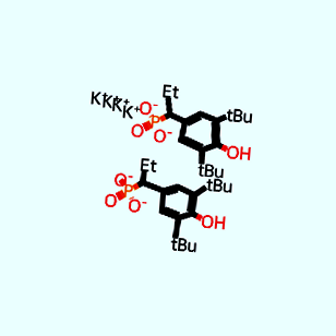 CCC(c1cc(C(C)(C)C)c(O)c(C(C)(C)C)c1)P(=O)([O-])[O-].CCC(c1cc(C(C)(C)C)c(O)c(C(C)(C)C)c1)P(=O)([O-])[O-].[K+].[K+].[K+].[K+]